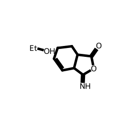 CCO.N=C1OC(=O)C2CCC=CC12